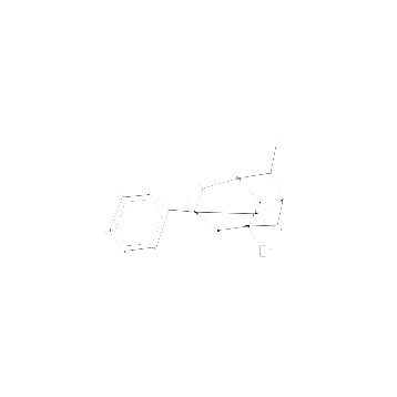 CCC12CC3CC(c4ccccc4)(CC(C1)C3C)C2